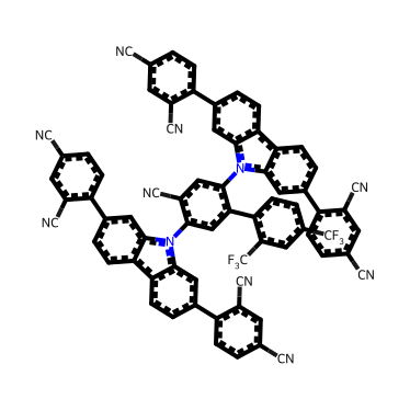 N#Cc1ccc(-c2ccc3c4ccc(-c5ccc(C#N)cc5C#N)cc4n(-c4cc(-c5ccc(C(F)(F)F)cc5C(F)(F)F)c(-n5c6cc(-c7ccc(C#N)cc7C#N)ccc6c6ccc(-c7ccc(C#N)cc7C#N)cc65)cc4C#N)c3c2)c(C#N)c1